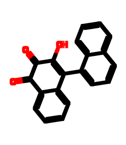 O=C1C(=O)c2ccccc2C(c2cccc3ccccc23)=C1O